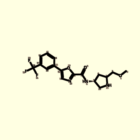 COCC1C[C@@H](NC(=O)c2ncc(-c3cccc(C(F)(F)F)c3)o2)CN1